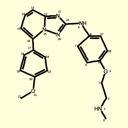 CNCCOc1ccc(Nc2nc3cccc(-c4ccc(OC)cc4)n3n2)cc1